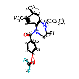 CCOC(=O)N1c2cc(C)c(C)cc2N(C(=O)c2ccc(OC(F)F)cc2)CC1CC